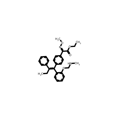 CCOC(=O)C(=NOC)c1ccc(C(=C(CC)c2ccccc2)c2ccccc2OCNC)cc1